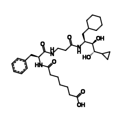 O=C(O)CCCCCC(=O)N[C@@H](Cc1ccccc1)C(=O)NCCC(=O)N[C@@H](CC1CCCCC1)[C@@H](O)[C@@H](O)C1CC1